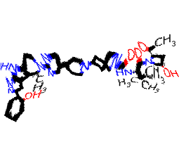 CC(=O)[C@@H]1C[C@@H](O)CN1C(=O)[C@@H](NC(=O)N1CC2(CC(N3CCC(c4cnc(N5CCc6[nH]c7nnc(-c8ccccc8O)cc7c6[C@H]5C)nc4)CC3)C2)C1)C(C)(C)C